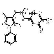 Cc1nn(-c2ccccc2)c(C)c1CN(C)Cc1cc(=O)c(O)c[nH]1